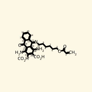 C=CC(=O)OCCCCCCN=C1c2ccccc2C(=O)c2c(N)c(C(=O)O)c(C(=O)O)c(N)c21